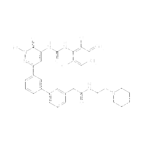 C=C/C(Cl)=C(NC(=O)Nc1cc(-c2cccc(-c3cccc(CC(=O)NCCN4CCCCC4)c3)c2)nn(CC)c1=O)\C(Cl)=C/N